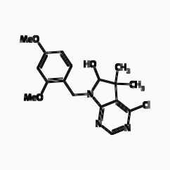 COc1ccc(CN2c3ncnc(Cl)c3C(C)(C)C2O)c(OC)c1